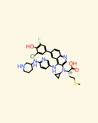 CSCC[C@@H](C(=O)O)N(c1cnc2ccc(-c3cc(F)c(O)c(Cl)c3)cc2c1Nc1ccc(NC2CCCNC2)nc1)C1CC1